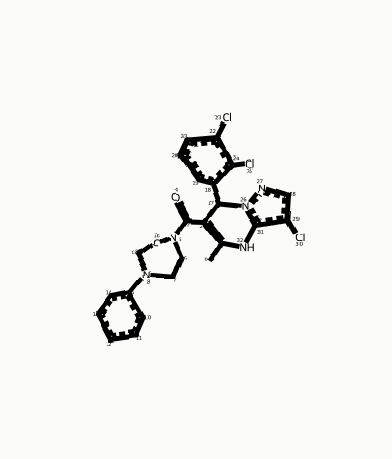 CC1=C(C(=O)N2CCN(c3ccccc3)CC2)C(c2cccc(Cl)c2Cl)n2ncc(Cl)c2N1